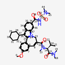 COc1ccc2c(c1)C=C(C(=O)N(C)[C@H](C(=O)N(C)C)C(C)C)Cn1c-2c(C2CCCCC2)c2ccc(C(=O)NS(=O)(=O)N(C)C)cc21